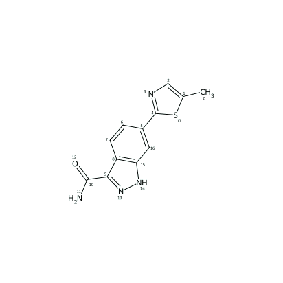 Cc1cnc(-c2ccc3c(C(N)=O)n[nH]c3c2)s1